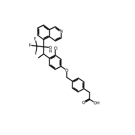 CC(c1ccc(OCc2ccc(CC(=O)O)cc2)cc1Cl)C(O)(c1cccc2cnccc12)C(F)(F)F